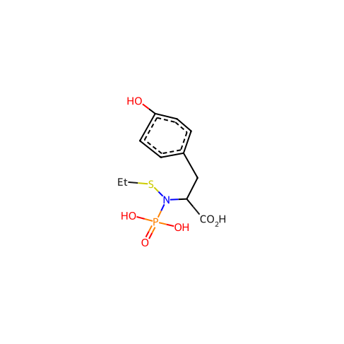 CCSN(C(Cc1ccc(O)cc1)C(=O)O)P(=O)(O)O